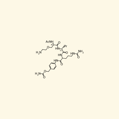 CC(=O)N[C@H](COCCN)C(=O)N[C@H](C(=O)NC(CCCNC(N)=O)C(=O)Nc1ccc(COC(N)=O)cc1)C(C)C